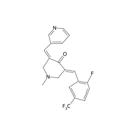 CN1CC(=Cc2cccnc2)C(=O)/C(=C/c2cc(C(F)(F)F)ccc2F)C1